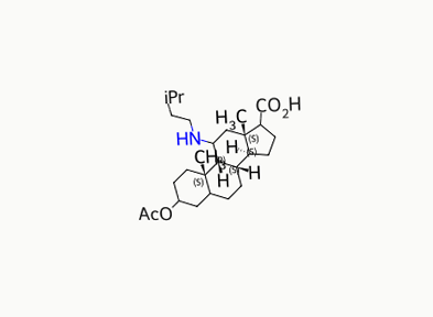 CC(=O)OC1CC[C@@]2(C)C(CC[C@@H]3[C@H]2C(NCCC(C)C)C[C@]2(C)C(C(=O)O)CC[C@@H]32)C1